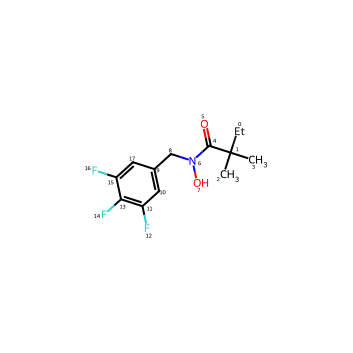 CCC(C)(C)C(=O)N(O)Cc1cc(F)c(F)c(F)c1